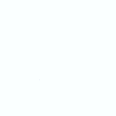 COc1cc(C=CSCc2ccc(C)cc2)ccc1O